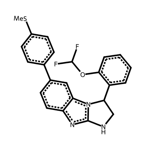 CSc1ccc(-c2ccc3nc4n(c3c2)C(c2ccccc2OC(F)F)CN4)cc1